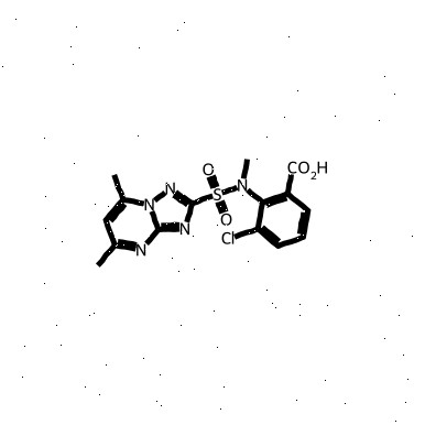 Cc1cc(C)n2nc(S(=O)(=O)N(C)c3c(Cl)cccc3C(=O)O)nc2n1